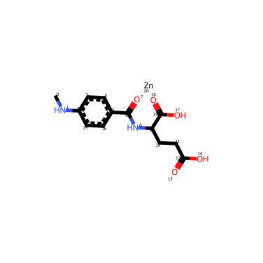 CNc1ccc(C(=O)NC(CCC(=O)O)C(=O)O)cc1.[Zn]